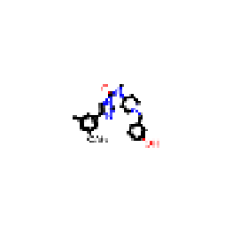 COc1cc(C)cc(-c2cn(C(=O)N(C)C3CCN(Cc4cccc(O)c4)CC3)cn2)c1